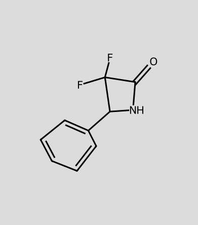 O=C1NC(c2ccccc2)C1(F)F